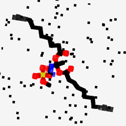 CCCCCCCCCCCCCCCCCC(=O)OC(C)(N)OC(=O)CCCCCCCCCCCCCCCCC.COS(=O)(=O)O